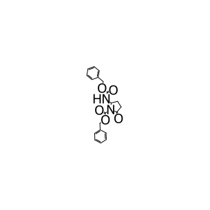 O=C(NC1CCC(=O)N1C(=O)OCc1ccccc1)OCc1ccccc1